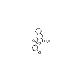 O=C(O)C1Cc2ccccc2CN1S(=O)(=O)c1cccc(Cl)c1